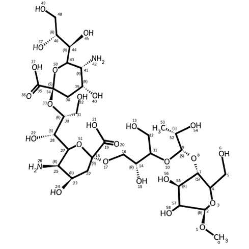 CO[C@@H]1OC(CO)[C@@H](O[C@H](OC(CO)[C@H](O)CO[C@]2(C(=O)O)C[C@@H](O)[C@@H](N)C([C@H](O)[C@@H](CO)O[C@]3(C(=O)O)C[C@@H](O)[C@@H](N)C([C@H](O)[C@H](O)CO)O3)O2)[C@H](C)O)[C@H](O)C1O